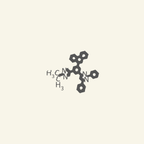 CC(C)c1ncc(-c2cc(-c3cc(-c4ccccc4)nc(-c4ccccc4)n3)cc(-c3cc4ccccc4c4ccccc34)c2)cn1